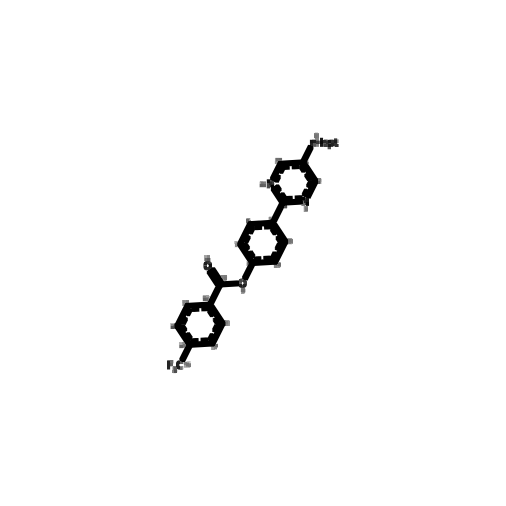 CCCCCCCc1cnc(-c2ccc(OC(=O)c3ccc(C(F)(F)F)cc3)cc2)nc1